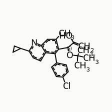 C=C(O)[C@@H](OC(C)(C)C)c1c(C)cc2nc(C3CC3)ccc2c1-c1ccc(Cl)cc1